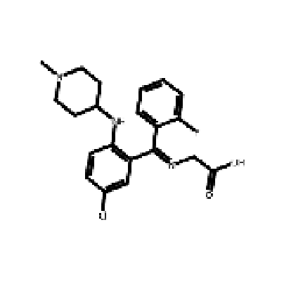 CN1CCC(Nc2ccc(Cl)cc2/C(=N/CC(=O)O)c2ccccc2F)CC1